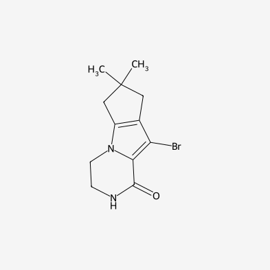 CC1(C)Cc2c(Br)c3n(c2C1)CCNC3=O